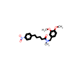 COc1ccc(CN(C)C(=O)CCCCc2ccc([N+](=O)[O-])cc2)cc1OC